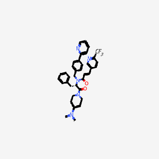 CN(C)C1CCN(C(=O)[C@H](Cc2ccccc2)N(Cc2ccc(-c3ccccn3)cc2)C(=O)C=Cc2ccc(C(F)(F)F)nc2)CC1